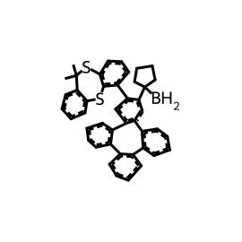 BC1(c2cc3c(cc2-c2cccc4c2Sc2ccccc2C(C)(C)S4)-c2ccccc2-c2ccccc2-c2ccccc2-3)CCCC1